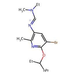 CCCC(CC)Oc1nc(C)c(/N=C/N(C)CC)cc1Br